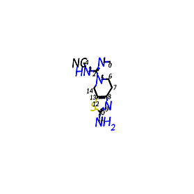 C/N=C(/NC#N)N1CCc2nc(N)sc2C1